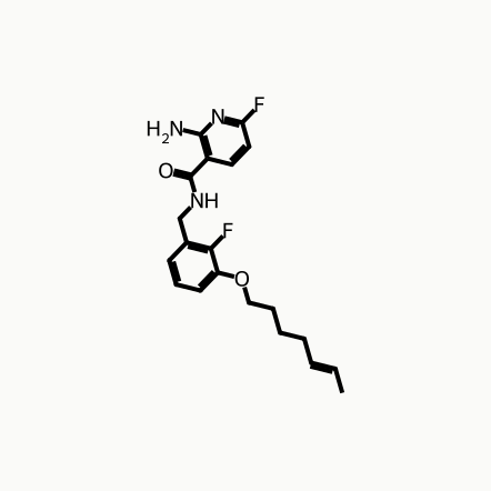 CC=CCCCCOc1cccc(CNC(=O)c2ccc(F)nc2N)c1F